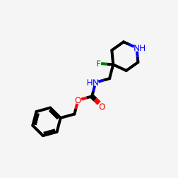 O=C(NCC1(F)CCNCC1)OCc1ccccc1